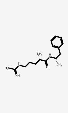 C[C@@H](Cc1ccccc1)NC(=O)[C@@H](N)CCCNC(=N)N